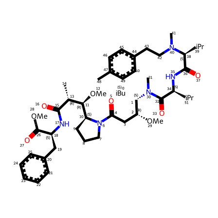 CC[C@H](C)[C@@H]([C@@H](CC(=O)N1CCC[C@H]1[C@H](OC)[C@@H](C)C(=O)N[C@@H](Cc1ccccc1)C(=O)OC)OC)N(C)C(=O)[C@@H](NC(=O)[C@H](C(C)C)N(C)CCc1ccc(C)cc1)C(C)C